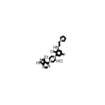 CCc1n[nH]c2ncnc(N3CCN(c4cc(F)cc(NCCN5CCCC5)c4Cl)CC3)c12.Cl